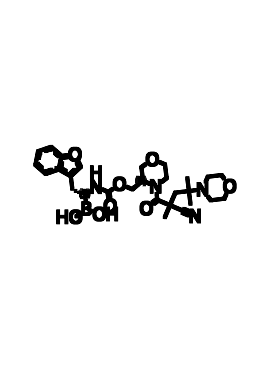 CC(C#N)(CC(C)(C)N1CCOCC1)C(=O)N1CCOC[C@@H]1COC(=O)N[C@@H](Cc1coc2ccccc12)B(O)O